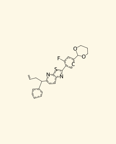 C=CCC(c1ccccc1)c1ccc2nc(-c3ccc(C4OCCCO4)cc3F)sc2n1